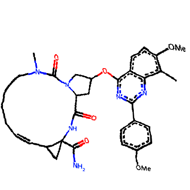 COc1ccc(-c2nc(OC3CC4C(=O)NC5(C(N)=O)CC5C=CCCCCN(C)C(=O)N4C3)c3ccc(OC)c(C)c3n2)cc1